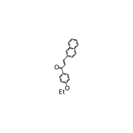 CCOc1ccc(C(=O)/C=C/c2ccc3ccccc3c2)cc1